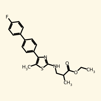 CCOC(=O)C(C)CNc1nc(-c2ccc(-c3ccc(F)cc3)cc2)c(C)s1